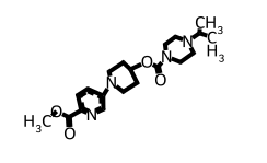 COC(=O)c1ccc(N2CCC(OC(=O)N3CCN(C(C)C)CC3)CC2)cn1